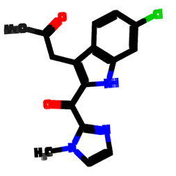 COC(=O)Cc1c(C(=O)c2nccn2C)[nH]c2cc(Cl)ccc12